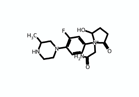 CC1CN(c2ccc([N+]3(CC(N)=O)C(=O)CCC3O)cc2F)CCN1